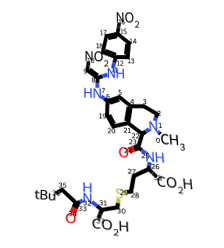 CN1CCc2cc(NC(=C[N+](=O)[O-])Nc3ccc([N+](=O)[O-])cc3)ccc2C1C(=O)NC(CCSCC(NC(=O)CC(C)(C)C)C(=O)O)C(=O)O